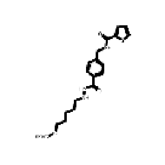 CCCCCOCCCCCNNC(=O)c1ccc(CNC(=O)c2cccs2)cc1